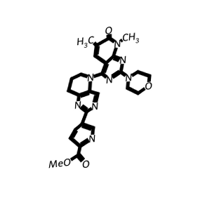 COC(=O)c1ccc(-c2ncc3c(n2)CCCN3c2nc(N3CCOCC3)nc3c2cc(C)c(=O)n3C)cn1